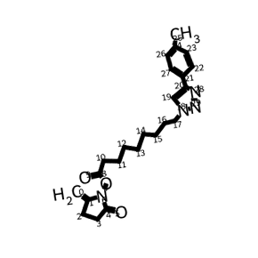 C=C1CCC(=O)N1OC(=O)CCCCCCCCn1cc(-c2ccc(C)cc2)nn1